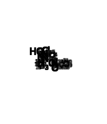 CN(Cc1ccc(Cl)c(-c2nc(O)nc(-c3ccccc3)n2)c1)C(=O)C1Cc2ccccc2C1